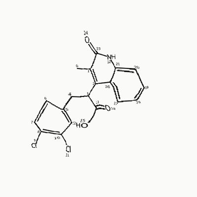 Cc1c(C(Cc2ccc(Cl)c(Cl)c2)C(=O)O)c2ccccc2[nH]c1=O